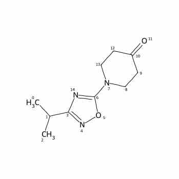 CC(C)c1noc(N2CCC(=O)CC2)n1